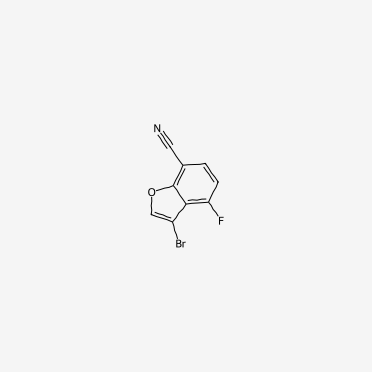 N#Cc1ccc(F)c2c(Br)coc12